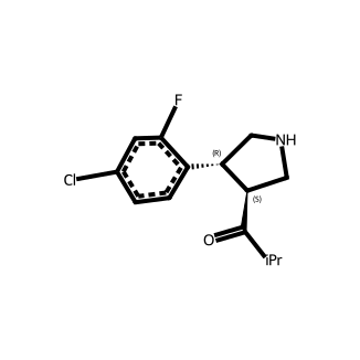 CC(C)C(=O)[C@@H]1CNC[C@H]1c1ccc(Cl)cc1F